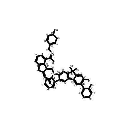 C=C/C=C1/Cc2cccc(/C(C)=N\CC3=CCC(C)C=C3)c2/C1=C/n1c2ccccc2c2cc3c(cc21)C(C)(C)c1cc(C)c(-c2ccccc2C)cc1-3